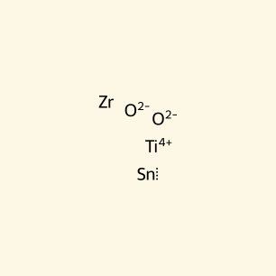 [O-2].[O-2].[Sn].[Ti+4].[Zr]